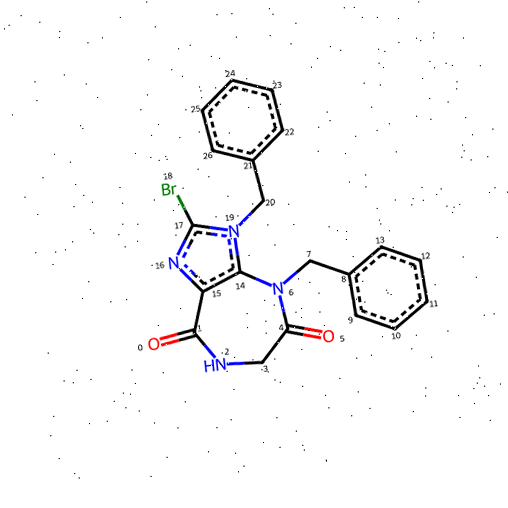 O=C1NCC(=O)N(Cc2ccccc2)c2c1nc(Br)n2Cc1ccccc1